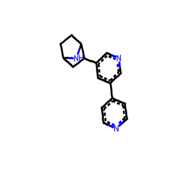 c1cc(-c2cncc(C3CC4CCC3N4)c2)ccn1